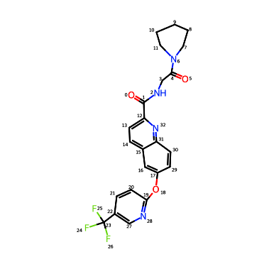 O=C(NCC(=O)N1CCCCC1)c1ccc2cc(Oc3ccc(C(F)(F)F)cn3)ccc2n1